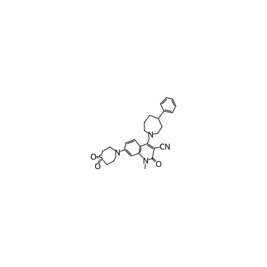 Cn1c(=O)c(C#N)c(N2CCCC(c3ccccc3)CC2)c2ccc(N3CCS(=O)(=O)CC3)cc21